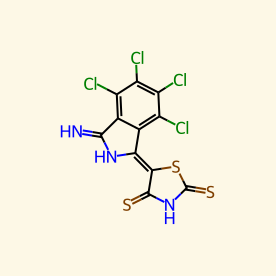 N=C1NC(=C2SC(=S)NC2=S)c2c(Cl)c(Cl)c(Cl)c(Cl)c21